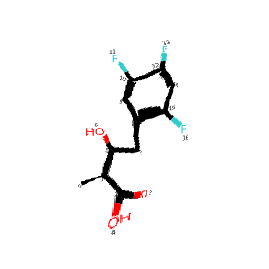 C[C@H](C(=O)O)C(O)Cc1cc(F)c(F)cc1F